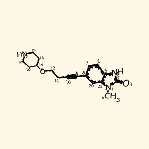 Cn1c(=O)[nH]c2ccc(C#CCCOC3CCNCC3)cc21